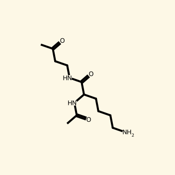 CC(=O)CCNC(=O)C(CCCCN)NC(C)=O